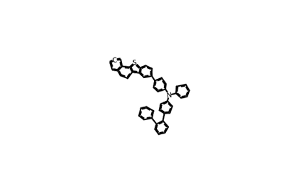 c1ccc(-c2ccccc2-c2ccc(N(c3ccccc3)c3ccc(-c4ccc5sc6c7ccccc7ccc6c5c4)cc3)cc2)cc1